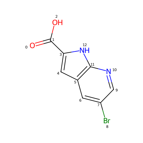 O=C(O)c1cc2cc(Br)cnc2[nH]1